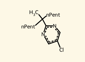 CCCCCC(C)(CCCCC)c1ncc(Cl)cn1